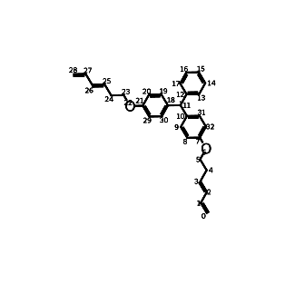 C=CC=CCCOc1ccc([C](c2ccccc2)c2ccc(OCCC=CC=C)cc2)cc1